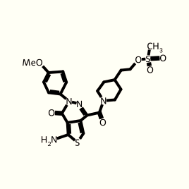 COc1ccc(-n2nc(C(=O)N3CCC(CCOS(C)(=O)=O)CC3)c3csc(N)c3c2=O)cc1